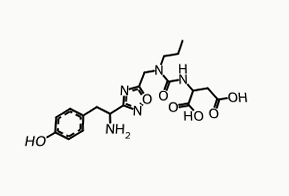 CCCN(Cc1nc(C(N)Cc2ccc(O)cc2)no1)C(=O)NC(CC(=O)O)C(=O)O